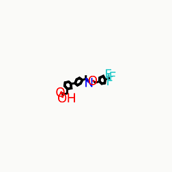 C/C(=N\OCc1ccc(C(F)(F)F)cc1)c1ccc(-c2cccc(CC(=O)O)c2)cc1